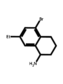 CCc1cc(Br)c2c(c1)C(N)CCC2